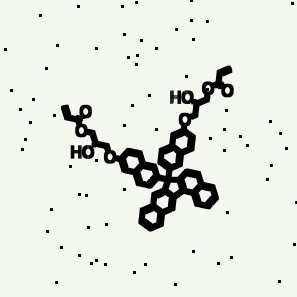 C=CC(=O)OCC(O)COc1ccc2cc(C3(c4ccc5cc(OCC(O)COC(=O)C=C)ccc5c4)c4cc5ccccc5cc4-c4c3ccc3ccccc43)ccc2c1